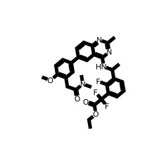 CCOC(=O)C(F)(F)c1cccc(C(C)Nc2nc(C)nc3ccc(-c4ccc(OC)c(CC(=O)N(C)C)c4)cc23)c1F